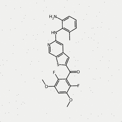 COc1cc(OC)c(F)c(C(=O)c2cc3cc(Nc4c(C)cccc4N)ncc3s2)c1F